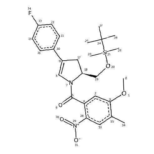 COc1cc(C(=O)N2C=C(c3ccc(F)cc3)C[C@H]2CO[Si](C)(C)C(C)(C)C)c([N+](=O)[O-])cc1C